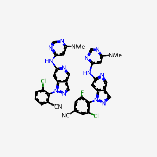 CNc1cc(Nc2cc3c(cn2)cnn3-c2c(Cl)cccc2C#N)ncn1.CNc1cc(Nc2cc3c(cn2)cnn3-c2c(F)cc(C#N)cc2Cl)ncn1